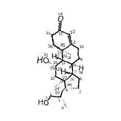 C[C@H](CO)[C@H]1CC[C@H]2[C@@H]3CCC4=CC(=O)CC[C@]4(C)[C@H]3[C@@H](O)C[C@]12C